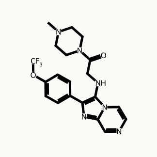 CN1CCN(C(=O)CNc2c(-c3ccc(OC(F)(F)F)cc3)nc3cnccn23)CC1